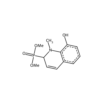 COP(=O)(OC)C1C=Cc2cccc(O)c2N1C